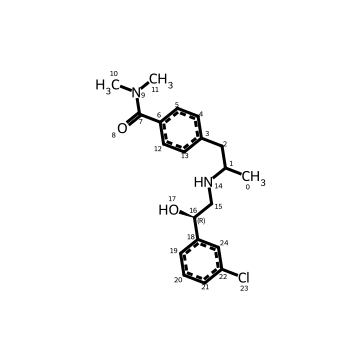 CC(Cc1ccc(C(=O)N(C)C)cc1)NC[C@H](O)c1cccc(Cl)c1